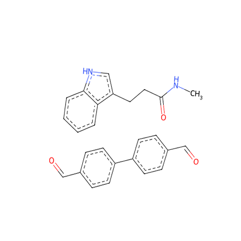 CNC(=O)CCc1c[nH]c2ccccc12.O=Cc1ccc(-c2ccc(C=O)cc2)cc1